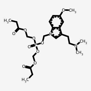 CCC(=O)OCOP(=O)(OCOC(=O)CC)OCn1cc(CCN(C)C)c2cc(OC)ccc21